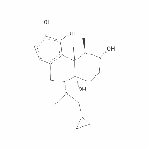 C[C@H]1[C@H](O)CC[C@@]2(O)[C@H](N(C)CC3CC3)Cc3ccc(O)c(O)c3C12C